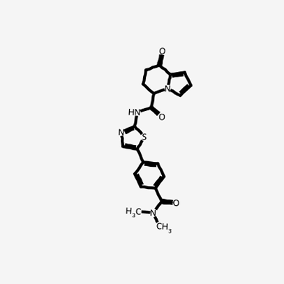 CN(C)C(=O)c1ccc(-c2cnc(NC(=O)C3CCC(=O)c4cccn43)s2)cc1